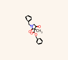 CC1(C(=O)OCc2ccccc2)C(=O)CN(Cc2ccccc2)C1=O